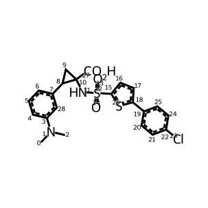 CN(C)c1cccc(C2CC2(NS(=O)(=O)c2ccc(-c3ccc(Cl)cc3)s2)C(=O)O)c1